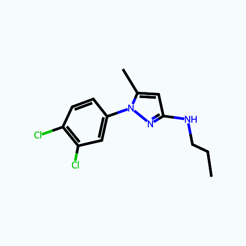 CCCNc1cc(C)n(-c2ccc(Cl)c(Cl)c2)n1